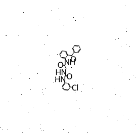 O=C(CNC(=O)Nc1cccc(Cl)c1)Nc1ccccc1C(=O)c1ccccc1